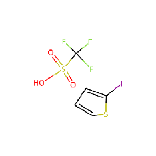 Ic1cccs1.O=S(=O)(O)C(F)(F)F